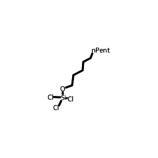 CCCCCCCCCCO[Si](Cl)(Cl)Cl